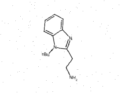 CCCCn1c(CCN)nc2ccccc21